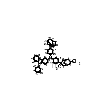 CC1CC2CC(C1)CC(C)(c1ccc(N(c3ccc(C45CC6CC(CC(C6)C4)C5)cc3)c3ccc4c(c3)c3ccccc3n4-c3ccccc3)cc1)C2